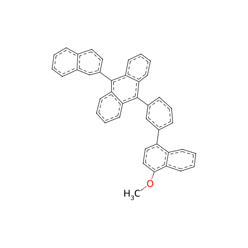 COc1ccc(-c2cccc(-c3c4ccccc4c(-c4ccc5ccccc5c4)c4ccccc34)c2)c2ccccc12